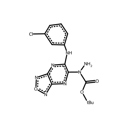 CC(C)(C)OC(=O)N(N)c1nc2nonc2nc1Nc1cccc(Cl)c1